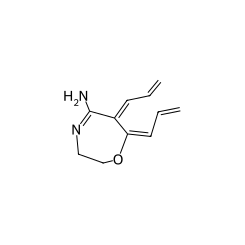 C=C/C=C1/C(N)=NCCO/C1=C/C=C